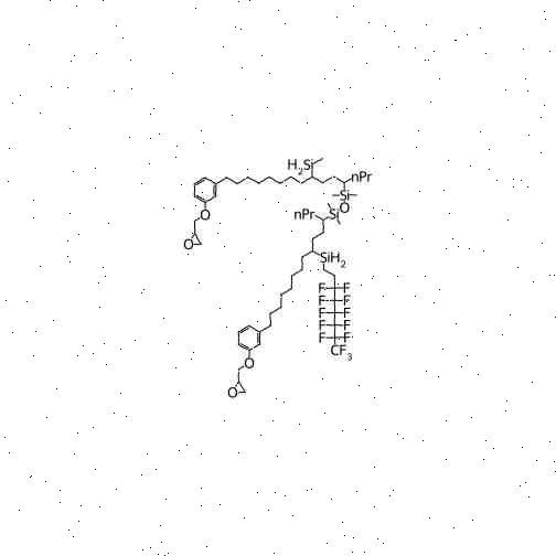 CCCC(CCC(CCCCCCCCc1cccc(OCC2CO2)c1)[SiH2]C)[Si](C)(C)O[Si](C)(C)C(CCC)CCC(CCCCCCCCc1cccc(OCC2CO2)c1)[SiH2]CCC(F)(F)C(F)(F)C(F)(F)C(F)(F)C(F)(F)C(F)(F)F